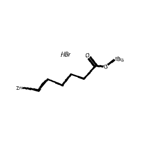 Br.CC(C)(C)OC(=O)CCCC[CH2][Zn]